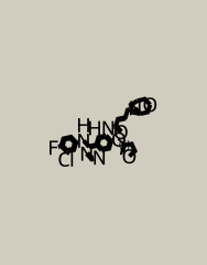 O=C(C=CCN1C2CCC1COC2)Nc1cc2c(Nc3ccc(F)c(Cl)c3)ncnc2cc1O[C@H]1CCOC1